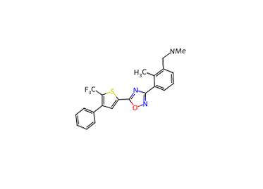 CNCc1cccc(-c2noc(-c3cc(-c4ccccc4)c(C(F)(F)F)s3)n2)c1C